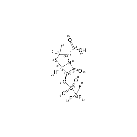 CC1(C)S[C@@H]2[C@H](OS(=O)(=O)C(F)(F)F)C(=O)N2[C@H]1C(=O)O